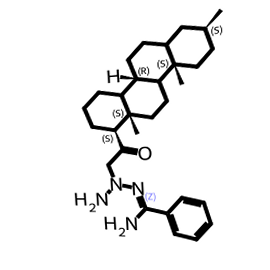 C[C@H]1CC[C@@]2(C)C(CC[C@@H]3C2CC[C@@]2(C)C3CCC[C@@H]2C(=O)CN(N)/N=C(\N)c2ccccc2)C1